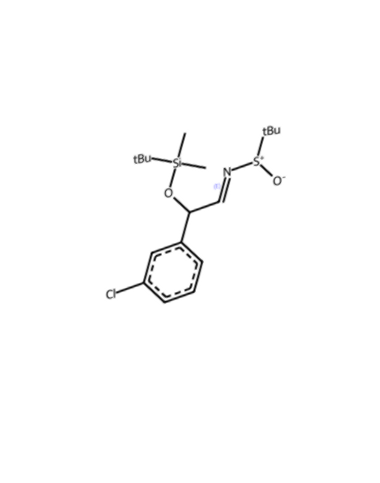 CC(C)(C)[S+]([O-])/N=C/C(O[Si](C)(C)C(C)(C)C)c1cccc(Cl)c1